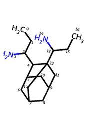 CCC(N)C1C2CC3CC(C2)CC1(C(N)CC)C3